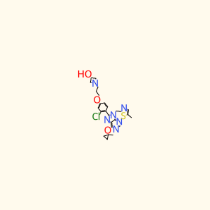 Cc1cnc(Cn2c(-c3ccc(OCCCN4CC(O)C4)cc3Cl)nc3c(OC4(C)CC4)ncnc32)s1